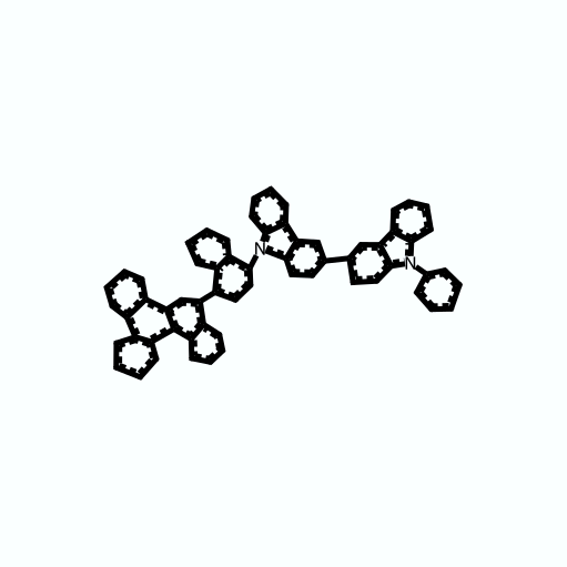 c1ccc(-n2c3ccccc3c3cc(-c4ccc5c(c4)c4ccccc4n5-c4ccc(-c5cc6c7ccccc7c7ccccc7c6c6ccccc56)c5ccccc45)ccc32)cc1